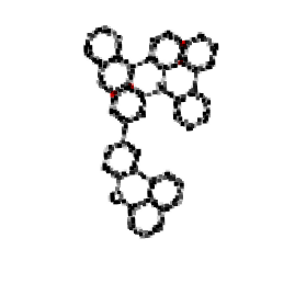 c1ccc(-c2ccccc2N(c2cccc(-c3ccc4c(c3)-c3cccc5cccc(c35)O4)c2)c2ccccc2-c2cccc3ccccc23)cc1